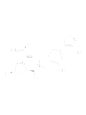 Cc1ncsc1-c1ccc(CNC(=O)[C@H]2C[C@@H](O)CN2C(=O)[C@@H](N)C(C)(C)C)c(O)c1